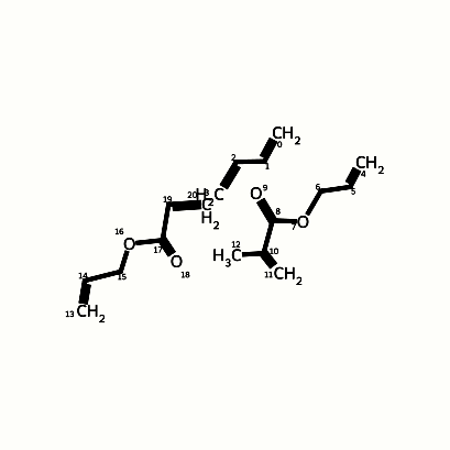 C=CC=C.C=CCOC(=O)C(=C)C.C=CCOC(=O)C=C